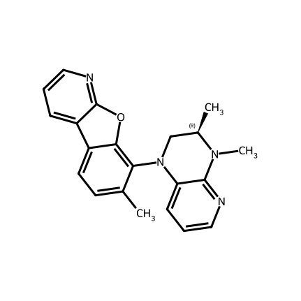 Cc1ccc2c(oc3ncccc32)c1N1C[C@@H](C)N(C)c2ncccc21